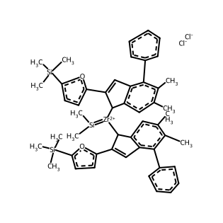 Cc1cc2c(c(-c3ccccc3)c1C)C=C(c1ccc([Si](C)(C)C)o1)[CH]2[Zr+2]([CH]1C(c2ccc([Si](C)(C)C)o2)=Cc2c1cc(C)c(C)c2-c1ccccc1)=[Si](C)C.[Cl-].[Cl-]